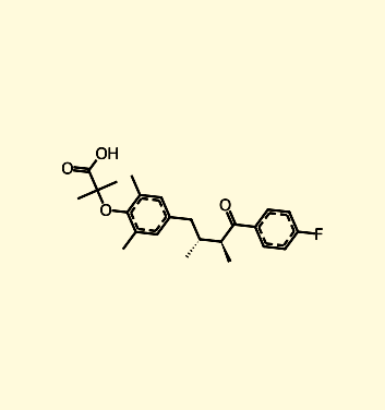 Cc1cc(C[C@@H](C)[C@H](C)C(=O)c2ccc(F)cc2)cc(C)c1OC(C)(C)C(=O)O